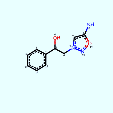 [NH-]c1c[n+](CC(O)c2ccccc2)no1